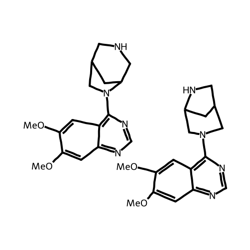 COc1cc2ncnc(N3CC4CNC(C4)C3)c2cc1OC.COc1cc2ncnc(N3CC4CNCC3C4)c2cc1OC